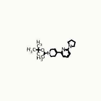 CC(C)(C)OC(=O)N1CC=C(c2cccc(N3CCCC3)n2)CC1